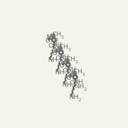 COc1ccc(NC(=O)[C@H](CCCCCN)NC(=O)c2cc(NC(=O)[C@H](CCCCCN)NC(=O)c3cc(NC(=O)[C@H](CCCCCN)NC(=O)c4cc(NC(=O)[C@@H](N)CCCCCN)ccc4OC)ccc3OC)ccc2OC)cc1C(N)=O